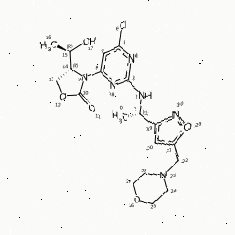 C[C@H](Nc1nc(Cl)cc(N2C(=O)OC[C@@H]2[C@@H](C)O)n1)c1cc(CN2CCOCC2)on1